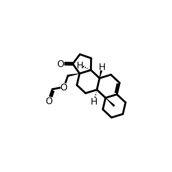 C[C@]12CCCCC1=CC[C@H]1[C@@H]3CCC(=O)[C@@]3(COC=O)CC[C@@H]12